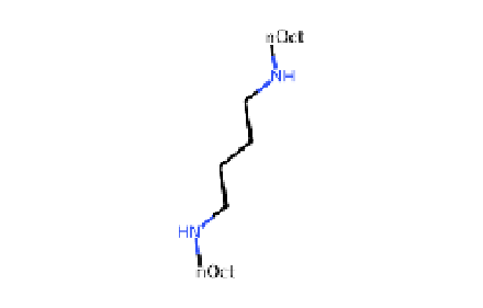 CCCCCCCCNCCCCNCCCCCCCC